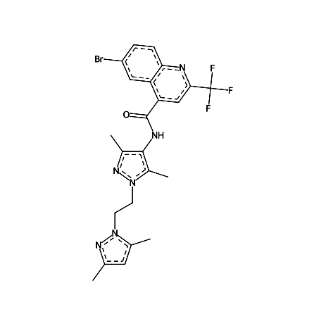 Cc1cc(C)n(CCn2nc(C)c(NC(=O)c3cc(C(F)(F)F)nc4ccc(Br)cc34)c2C)n1